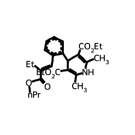 CCCOC(=O)/C(=C/c1ccccc1C1C(C(=O)OCC)=C(C)NC(C)=C1C(=O)OCC)CC